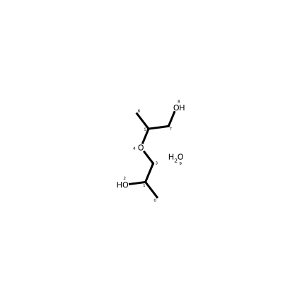 CC(O)COC(C)CO.O